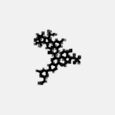 Cc1cc(-c2ccc3c(=O)n(-c4ccc(Cl)c5c(NS(C)(=O)=O)nn(C)c45)c([C@H](Cc4cc(F)cc(F)c4)NC(=O)Cn4nc(C(F)F)c5c4C(F)(F)[C@@H]4C[C@H]54)nc3c2)nc(CO)n1